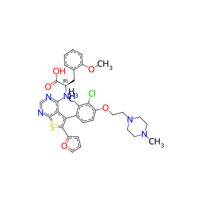 COc1ccccc1C[C@@H](Nc1ncnc2sc(-c3ccco3)c(-c3ccc(OCCN4CCN(C)CC4)c(Cl)c3C)c12)C(=O)O